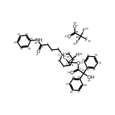 O=C(CCC[N+]12CCC(CC1)[C@@H](OC(=O)C(O)(c1ccccc1)c1ccccc1)C2)Nc1ccccc1.O=C([O-])C(F)(F)F